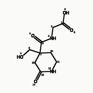 O=C(O)CNC(=O)C1(CO)CCNC(=O)C1